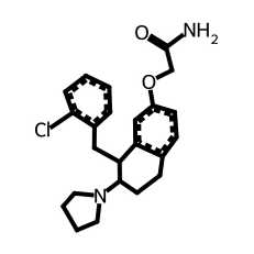 NC(=O)COc1ccc2c(c1)C(Cc1ccccc1Cl)C(N1CCCC1)CC2